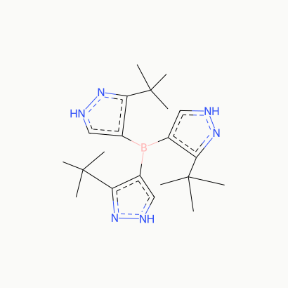 CC(C)(C)c1n[nH]cc1B(c1c[nH]nc1C(C)(C)C)c1c[nH]nc1C(C)(C)C